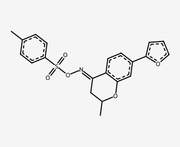 Cc1ccc(S(=O)(=O)ON=C2CC(C)Oc3cc(-c4ccco4)ccc32)cc1